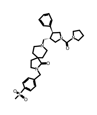 CS(=O)(=O)c1ccc(CN2CCC3(CCN(C[C@H]4CN(C(=O)N5CCCC5)C[C@@H]4c4ccccc4)CC3)C2=O)cc1